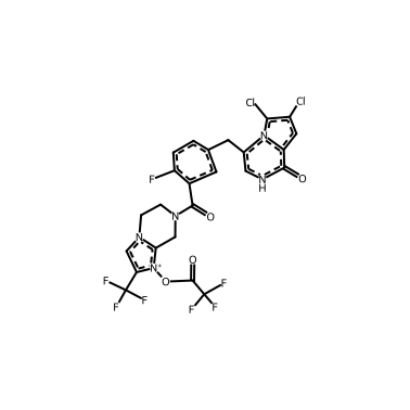 O=C(c1cc(Cc2c[nH]c(=O)c3cc(Cl)c(Cl)n23)ccc1F)N1CCn2cc(C(F)(F)F)[n+](OC(=O)C(F)(F)F)c2C1